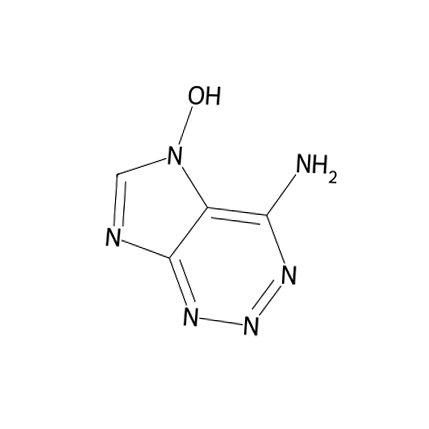 Nc1nnnc2ncn(O)c12